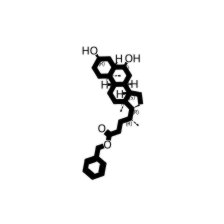 C[C@H](CCC(=O)OCc1ccccc1)[C@H]1CC[C@H]2[C@@H]3C[C@H](O)[C@@H]4C[C@H](O)CC[C@]4(C)[C@H]3CC[C@]12C